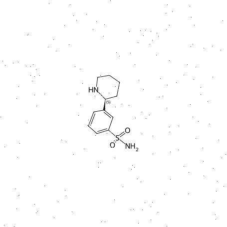 NS(=O)(=O)c1cccc([C@@H]2CCCCN2)c1